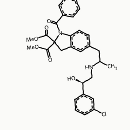 COC(=O)C1(C(=O)OC)Cc2cc(CC(C)NC[C@H](O)c3cccc(Cl)c3)ccc2N1C(=O)c1ccccc1